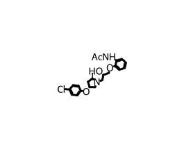 CC(=O)Nc1ccccc1OC[C@H](O)CN1C[C@@H](Oc2ccc(Cl)cc2)C[C@H]1C